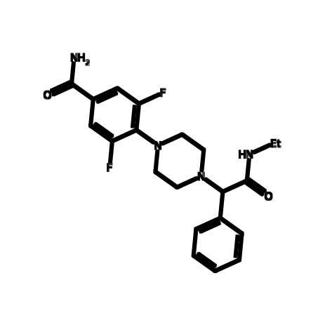 CCNC(=O)C(c1ccccc1)N1CCN(c2c(F)cc(C(N)=O)cc2F)CC1